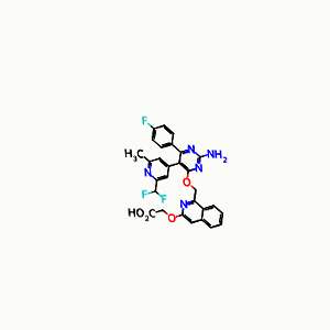 Cc1cc(-c2c(OCc3nc(OCC(=O)O)cc4ccccc34)nc(N)nc2-c2ccc(F)cc2)cc(C(F)F)n1